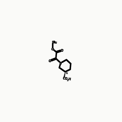 CC(C)(C)OC(=O)C(=O)N1CCC[C@H](C(=O)O)C1